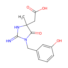 CC1(CC(=O)O)NC(=N)N(Cc2cccc(O)c2)C1=O